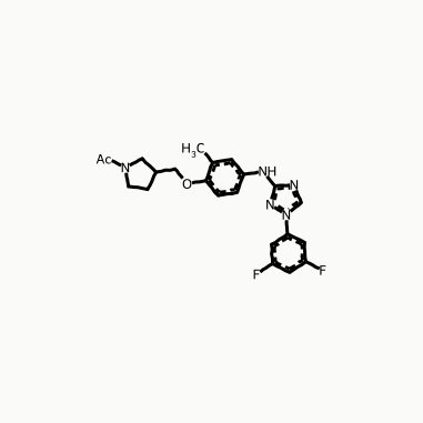 CC(=O)N1CCC(COc2ccc(Nc3ncn(-c4cc(F)cc(F)c4)n3)cc2C)C1